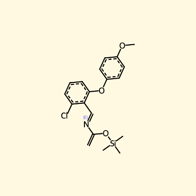 C=C(/N=C/c1c(Cl)cccc1Oc1ccc(OC)cc1)O[Si](C)(C)C